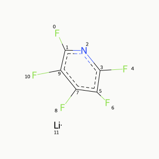 Fc1nc(F)c(F)c(F)c1F.[Li]